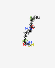 CC(C)(CCCCCC(F)(F)C(=O)NCS)CCC(C)(C)CNC(=O)CCCCCC(F)(F)C(C)(C)C